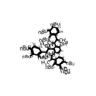 CCCCc1ccc(C(C)C(C)c2ccc(O)c(C(C)C(C)c3ccc(CCCC)c(CCCC)c3CCCC)c2C(C)C(C)c2ccc(CCCC)c(CCCC)c2CCCC)c(CCCC)c1CCCC